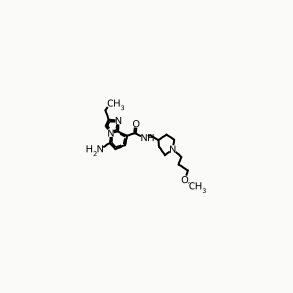 CCc1cn2c(N)ccc(C(=O)NCC3CCN(CCCOC)CC3)c2n1